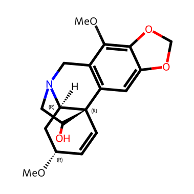 COc1c2c(cc3c1OCO3)[C@]13C=C[C@H](OC)C[C@H]1N(C2)CC3O